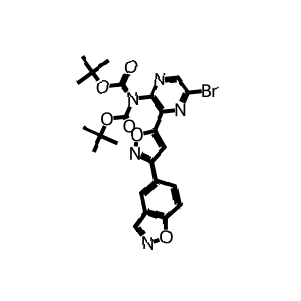 CC(C)(C)OC(=O)N(C(=O)OC(C)(C)C)c1ncc(Br)nc1-c1cc(-c2ccc3oncc3c2)no1